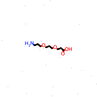 NCCCOCCCOCCC(=O)O